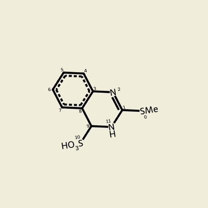 CSC1=Nc2ccccc2C(S(=O)(=O)O)N1